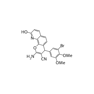 COc1cc(C2C(C#N)=C(N)Oc3c2ccc2ccc(O)nc32)cc(Br)c1OC